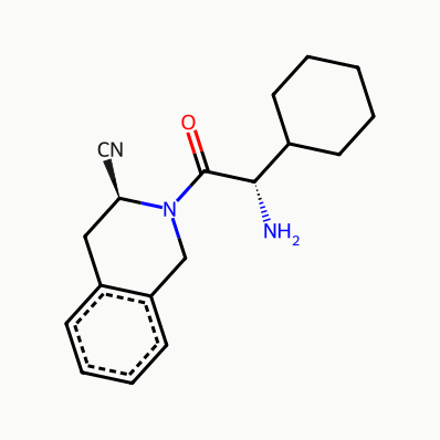 N#C[C@@H]1Cc2ccccc2CN1C(=O)[C@@H](N)C1CCCCC1